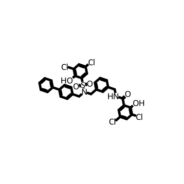 O=C(NCc1cccc(CN(Cc2ccc(-c3ccccc3)cc2)S(=O)(=O)c2cc(Cl)cc(Cl)c2O)c1)c1cc(Cl)cc(Cl)c1O